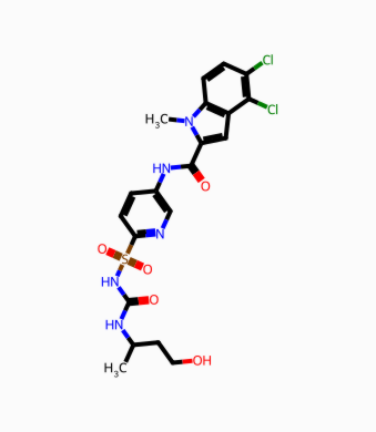 CC(CCO)NC(=O)NS(=O)(=O)c1ccc(NC(=O)c2cc3c(Cl)c(Cl)ccc3n2C)cn1